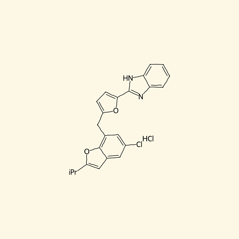 CC(C)c1cc2cc(Cl)cc(Cc3ccc(-c4nc5ccccc5[nH]4)o3)c2o1.Cl